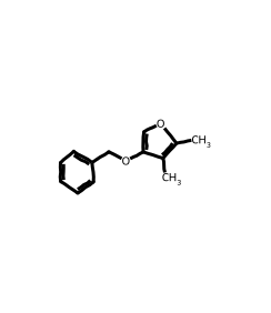 Cc1occ(OCc2ccccc2)c1C